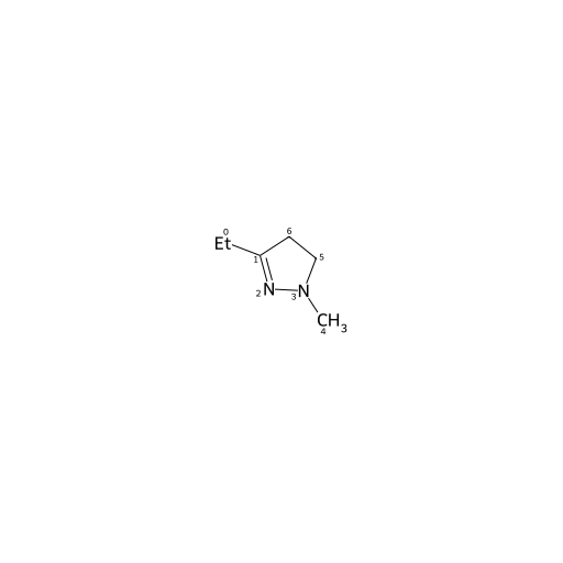 CCC1=NN(C)CC1